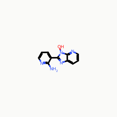 Nc1ncccc1-c1nc2cccnc2n1O